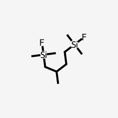 CC(CC[Si](C)(C)F)C[Si](C)(C)F